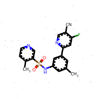 Cc1cc(NS(=O)(=O)c2cnccc2C)cc(-c2cc(F)c(C#N)cn2)c1